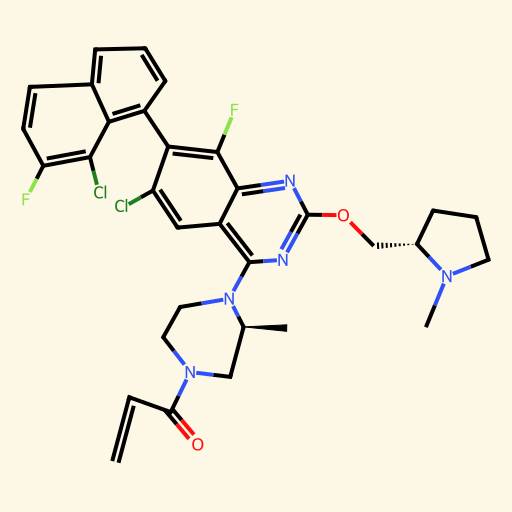 C=CC(=O)N1CCN(c2nc(OC[C@@H]3CCCN3C)nc3c(F)c(-c4cccc5ccc(F)c(Cl)c45)c(Cl)cc23)[C@@H](C)C1